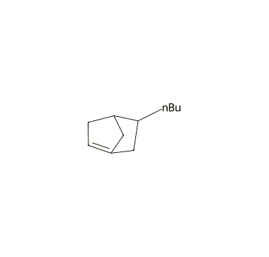 CCCCC1CC2=CCC1C2